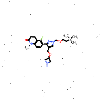 CN1C(=O)CCc2c1ccc(-c1nn(COCC[Si](C)(C)C)cc1COC1CNC1)c2F